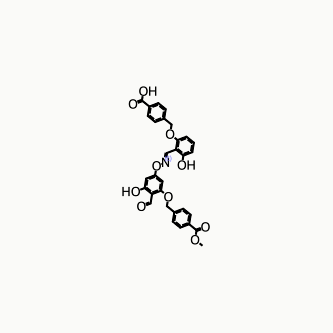 COC(=O)c1ccc(COc2cc(O/N=C/c3c(O)cccc3OCc3ccc(C(=O)O)cc3)cc(O)c2C=O)cc1